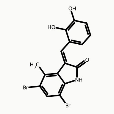 Cc1c(Br)cc(Br)c2c1C(=Cc1cccc(O)c1O)C(=O)N2